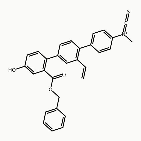 C=Cc1cc(-c2ccc(O)cc2C(=O)OCc2ccccc2)ccc1-c1ccc([N+](C)=C=S)cc1